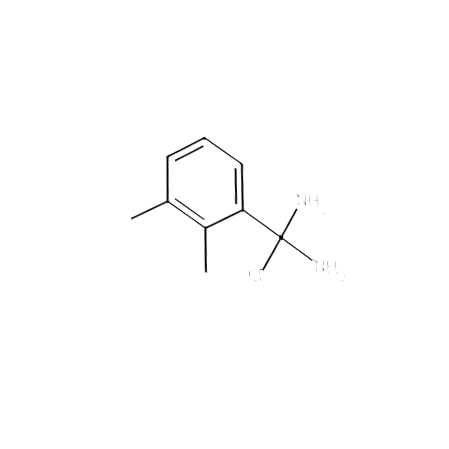 Cc1cccc(C(N)(N)Cl)c1C